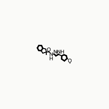 COc1ccc(-c2cc(NC(=O)C3(C)Cc4ccccc4C3)n[nH]2)cc1